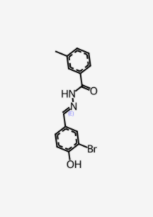 Cc1cccc(C(=O)N/N=C/c2ccc(O)c(Br)c2)c1